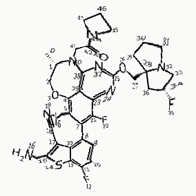 C[C@H]1COc2c(Cl)c(-c3ccc(F)c4sc(N)c(C#N)c34)c(F)c3nc(OC[C@@]45CCCN4C[C@H](F)C5)nc(c23)N1CC(=O)N1CCC1